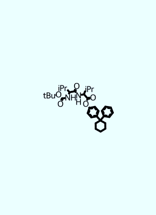 CC(C)C(NC(=O)OC(C)(C)C)C(=O)NC(C(=O)Oc1ccc(C2(c3ccccc3)CCCCC2)cc1)C(C)C